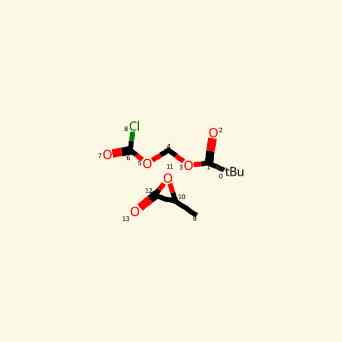 CC(C)(C)C(=O)OCOC(=O)Cl.CC1OC1=O